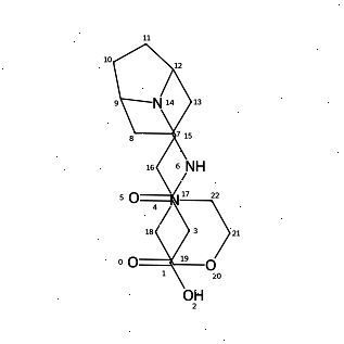 O=C(O)CC(=O)NC1CC2CCC(C1)N2CCN1CCOCC1